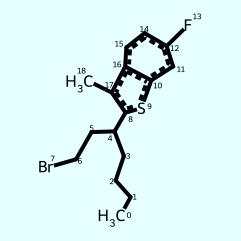 CCCCC(CCBr)c1sc2cc(F)ccc2c1C